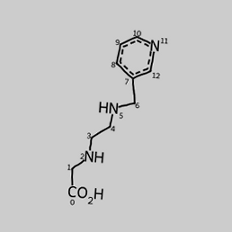 O=C(O)CNCCNCc1cccnc1